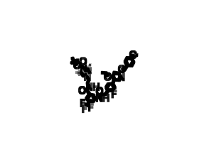 CCOc1cc(OCc2ccc(OC)cc2)ncc1-c1ccc(CC(=O)Nc2cc(C(=O)NCCN3C[C@@H](C)N(C(=O)OC(C)(C)C)[C@@H](C)C3)cc(C(F)(F)F)c2)c(F)c1